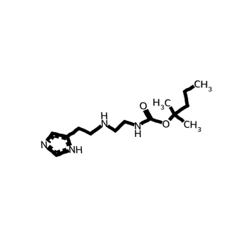 CCCC(C)(C)OC(=O)NCCNCCc1cnc[nH]1